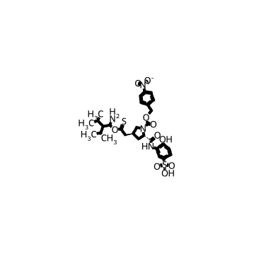 CC(C)C(C(C)C)C(N)OC(=S)C[C@@H]1C[C@@H](C(=O)Nc2cc(S(=O)(=O)O)ccc2O)N(C(=O)OCc2ccc([N+](=O)[O-])cc2)C1